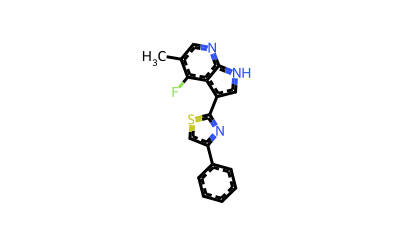 Cc1cnc2[nH]cc(-c3nc(-c4ccccc4)cs3)c2c1F